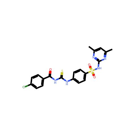 Cc1cc(C)nc(NS(=O)(=O)c2ccc(NC(=S)NC(=O)c3ccc(Cl)cc3)cc2)n1